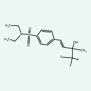 CCN(CC)S(=O)(=O)c1ccc(/C=C/C(C)(O)C(F)(F)F)cc1